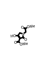 COC(=O)CN1CC(O)=C(C(=O)OC)C1=O